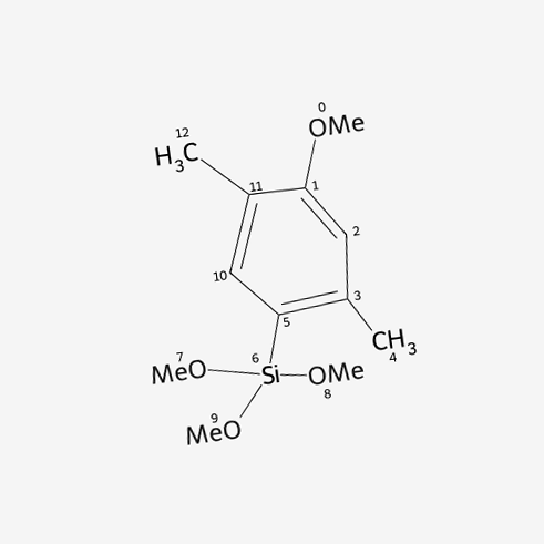 COc1cc(C)c([Si](OC)(OC)OC)cc1C